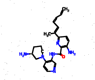 C=C/C=C\C=C(/C)c1ccc(N)c(C(=O)Nc2cnccc2N2CCC[C@H](N)C2)n1